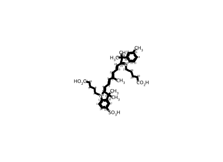 CC(/C=C/C=C1/N(CCCCC(=O)O)c2ccc(S(=O)(=O)O)cc2C1(C)C)=C\C=C\C1=[N+](CCCCC(=O)O)c2ccc(C)cc2C1(C)C